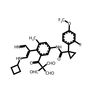 Cc1cc(NC(=O)C2(c3ccc(OC(F)(F)F)cc3F)CC2)cc(C(=O)C(C=O)(C=O)C=O)c1/C(C=N)=C/NC1CCC1